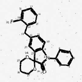 O=C1N(c2ccccc2)c2ccc(Cc3ccccc3F)cc2C12OCCCO2